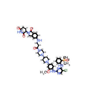 COc1cc(N2CCC(N3CCN(C(=O)CCNc4ccc5c(c4)CN(C4CCC(=O)NC4=O)C5=O)CC3)CC2)ccc1Nc1ncc(Cl)c(Nc2ccccc2P(C)(C)=O)n1